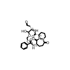 CCOC(O)[C@H](CC=O)NC(=O)[C@@H]1CCCN2C(=O)CC[C@H](NC(=O)c3ccccc3)C(=O)N12